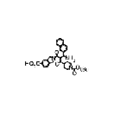 CC(C)(C)OC(=O)N1CCC(C(=O)C(C(=O)N2Cc3ccc(C(=O)O)cc3C2)C(N)c2ccc3ccccc3c2)CC1